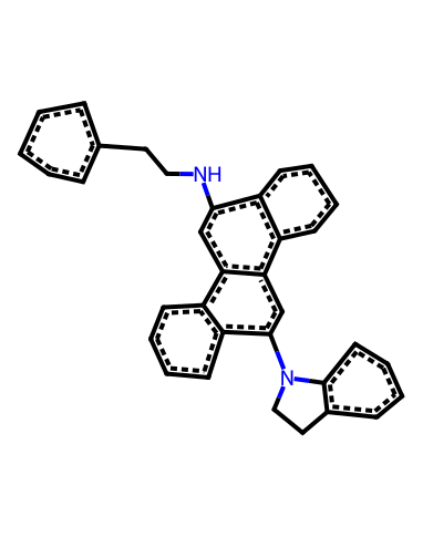 c1ccc(CCNc2cc3c4ccccc4c(N4CCc5ccccc54)cc3c3ccccc23)cc1